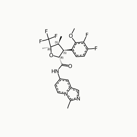 COc1c([C@H]2[C@H](C(=O)Nc3ccn4c(C)ncc4c3)O[C@@](C)(C(F)(F)F)[C@H]2C)ccc(F)c1F